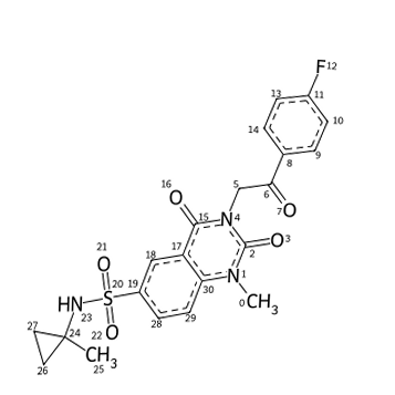 Cn1c(=O)n(CC(=O)c2ccc(F)cc2)c(=O)c2cc(S(=O)(=O)NC3(C)CC3)ccc21